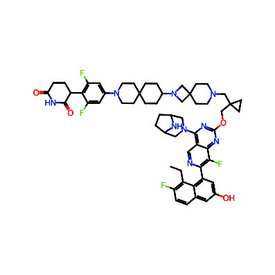 CCc1c(F)ccc2cc(O)cc(-c3ncc4c(N5CC6CCC(C5)N6)nc(OCC5(CN6CCC7(CC6)CN(C6CCC8(CC6)CCN(c6cc(F)c(C9CCC(=O)NC9=O)c(F)c6)CC8)C7)CC5)nc4c3F)c12